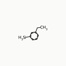 CCc1cccc([SiH3])c1